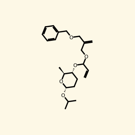 C=CC(OCC(=C)COCc1ccccc1)O[C@@H]1CC[C@H](OC(C)C)O[C@H]1C